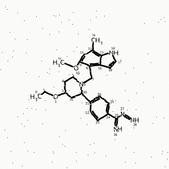 CCOC1CCN(Cc2c(OC)cc(C)c3[nH]ccc23)C(c2ccc(C(=N)N=N)cc2)C1